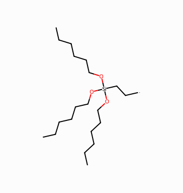 [CH2]CC[Si](OCCCCCC)(OCCCCCC)OCCCCCC